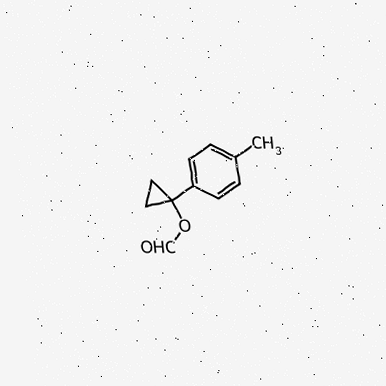 Cc1ccc(C2(OC=O)CC2)cc1